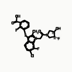 Cc1c(Sc2cccc(C(=O)O)c2F)c2ccc(Cl)c(F)c2n1CC(=O)N1C[C@@H](O)[C@H](F)C1